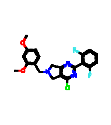 COc1ccc(CN2Cc3nc(-c4c(F)cccc4F)nc(Cl)c3C2)c(OC)c1